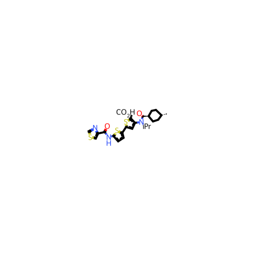 CC(C)N(c1cc(-c2ccc(NC(=O)c3cscn3)s2)sc1C(=O)O)C(=O)[C@H]1CC[C@H](C)CC1